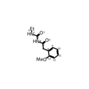 CCNC(=O)NC(=O)Cc1ccccc1OC